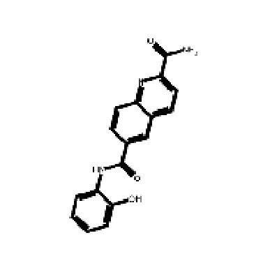 NC(=O)c1ccc2cc(C(=O)Nc3ccccc3O)ccc2n1